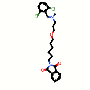 CN(CCCOCCCCCCN1C(=O)c2ccccc2C1=O)Cc1c(Cl)cccc1Cl